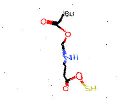 CCC(C)C(=O)OCNCC(=O)OS